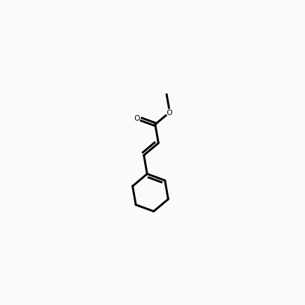 COC(=O)C=CC1=CCCCC1